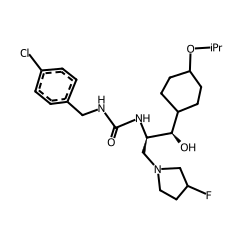 CC(C)OC1CCC([C@@H](O)[C@@H](CN2CCC(F)C2)NC(=O)NCc2ccc(Cl)cc2)CC1